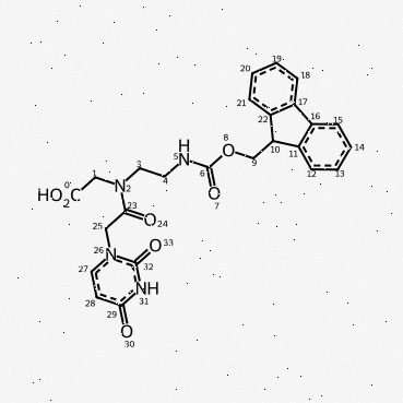 O=C(O)CN(CCNC(=O)OCC1c2ccccc2-c2ccccc21)C(=O)Cn1ccc(=O)[nH]c1=O